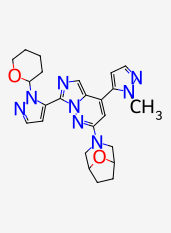 Cn1nccc1-c1cc(N2CC3CCC(C2)O3)nn2c(-c3ccnn3C3CCCCO3)ncc12